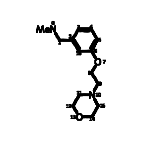 CNCc1cccc(OCCN2CCOCC2)c1